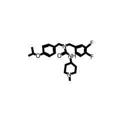 CC(C)Oc1ccc(CN(Cc2ccc(F)c(F)c2)C(=O)NC2CCN(C)CC2)cc1